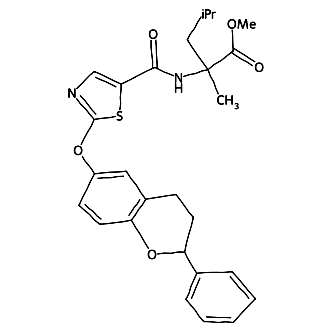 COC(=O)C(C)(CC(C)C)NC(=O)c1cnc(Oc2ccc3c(c2)CCC(c2ccccc2)O3)s1